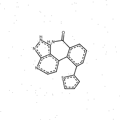 NC(=O)c1cccc(-c2cccs2)c1-c1ccnc2n[nH]cc12